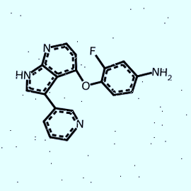 Nc1ccc(Oc2ccnc3[nH]cc(-c4cccnc4)c23)c(F)c1